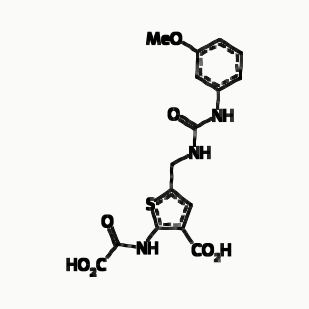 COc1cccc(NC(=O)NCc2cc(C(=O)O)c(NC(=O)C(=O)O)s2)c1